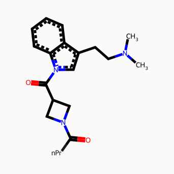 CCCC(=O)N1CC(C(=O)n2cc(CCN(C)C)c3ccccc32)C1